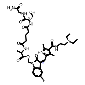 CCN(CC)CCNC(=O)c1c(C)[nH]c(/C=C2\C(=O)N(COC(=O)C(C)NC(=O)CCCC(=O)N[C@@H](CO)C(=O)NCC(N)=O)c3ccc(F)cc32)c1C